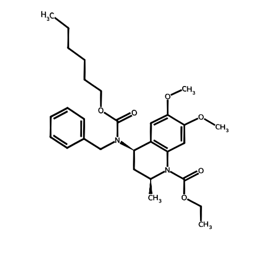 CCCCCCOC(=O)N(Cc1ccccc1)[C@@H]1C[C@H](C)N(C(=O)OCC)c2cc(OC)c(OC)cc21